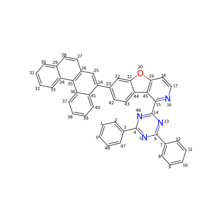 c1ccc(-c2nc(-c3ccccc3)nc(-c3nccc4oc5cc(-c6cc7ccc8ccccc8c7c7ccccc67)ccc5c34)n2)cc1